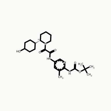 Cc1cc(NC(=O)C(=O)N2CCCC[C@H]2C2CCC(O)CC2)cnc1NC(=O)OC(C)(C)C